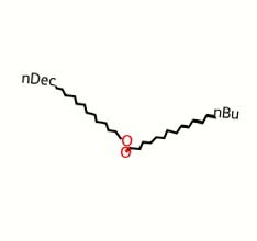 CCCCC=CC=CC=CCCCCCCCC(=O)OCCCCCCCCCCCCCCCCCCCCCCC